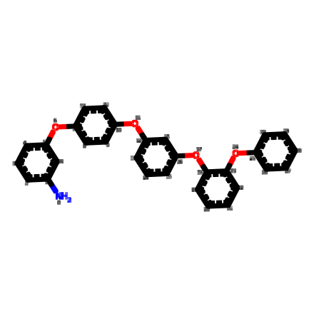 Nc1cccc(Oc2ccc(Oc3cccc(Oc4ccccc4Oc4ccccc4)c3)cc2)c1